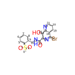 CS(=O)(=O)c1ccccc1CNC(=O)c1nc(Br)c2cccnc2c1O